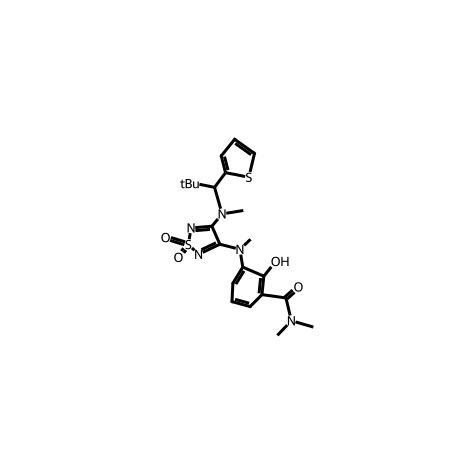 CN(C)C(=O)c1cccc(N(C)C2=NS(=O)(=O)N=C2N(C)C(c2cccs2)C(C)(C)C)c1O